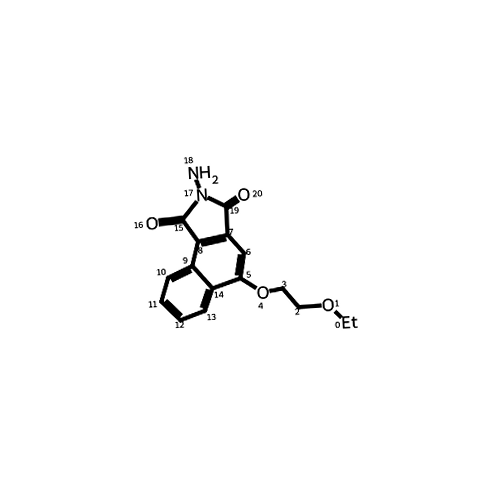 CCOCCOc1cc2c(c3ccccc13)C(=O)N(N)C2=O